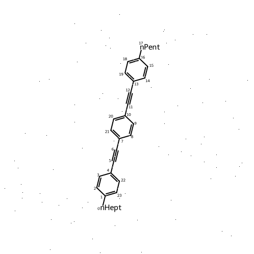 CCCCCCCc1ccc(C#Cc2ccc(C#Cc3ccc(CCCCC)cc3)cc2)cc1